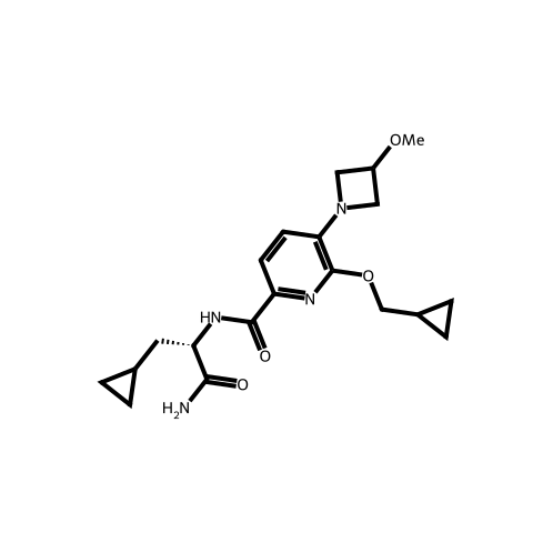 COC1CN(c2ccc(C(=O)N[C@@H](CC3CC3)C(N)=O)nc2OCC2CC2)C1